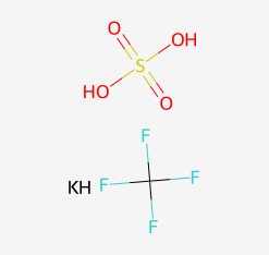 FC(F)(F)F.O=S(=O)(O)O.[KH]